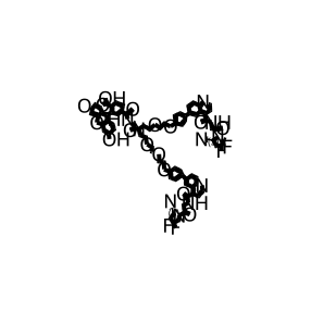 N#C[C@@H]1CC(F)(F)CN1C(=O)CNC(=O)c1ccnc2ccc(-c3ccc(OCCOCCOCCN(CCOCCOc4ccc(-c5ccc6nccc(C(=O)NCC(=O)N7CC(F)(F)C[C@H]7C#N)c6c5)cc4)C(=O)CNC(=O)c4ccc(C(=O)O)c(-c5c6ccc(=O)cc-6oc6cc(O)ccc56)c4)cc3)cc12